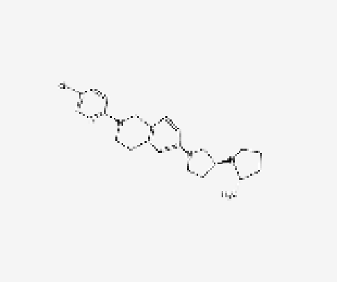 C[C@H]1CCCN1[C@H]1CCN(c2ccc3c(c2)CCN(c2ccc(Cl)cn2)C3)C1